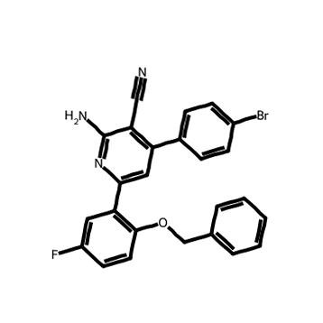 N#Cc1c(-c2ccc(Br)cc2)cc(-c2cc(F)ccc2OCc2ccccc2)nc1N